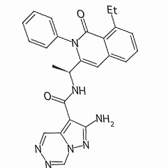 CCc1cccc2cc([C@H](C)NC(=O)c3c(N)nn4cnncc34)n(-c3ccccc3)c(=O)c12